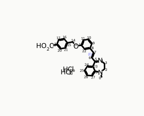 CN1CCN=C(/C=C/c2cccc(OCc3ccc(C(=O)O)cc3)c2)c2ccccc21.Cl.Cl